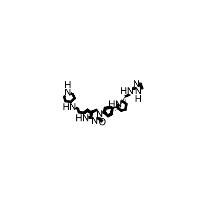 O=c1nc2[nH]c(CCNC3CCNCC3)cc2cn1-c1ccc([C@@H]2CCC[C@@H](CCNc3ncc[nH]3)N2)cc1